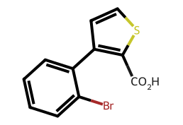 O=C(O)c1sccc1-c1ccccc1Br